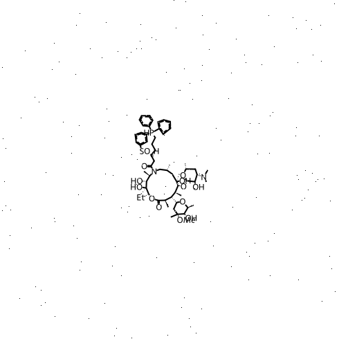 CC[C@H]1OC(=O)[C@H](C)[C@@H](C2C[C@@](C)(OC)[C@@H](O)[C@H](C)O2)[C@H](C)[C@@H](O[C@@H]2O[C@H](C)C[C@H](N(C)C)[C@H]2O)[C@](C)(O)C[C@@H](C)CN(C(=O)CCCCC[PH](c2ccccc2)(c2ccccc2)c2cccc(S(=O)(=O)O)c2)[C@H](C)[C@@H](O)[C@]1(C)O